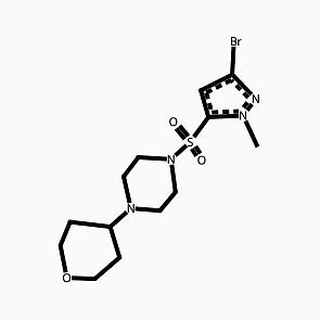 Cn1nc(Br)cc1S(=O)(=O)N1CCN(C2CCOCC2)CC1